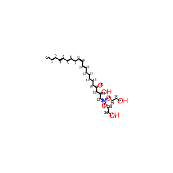 CCCCCCCC/C=C\CCCCCCCC(=O)CC(O)CN(OCCO)OCCO